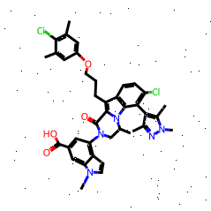 Cc1cc(OCCCc2c3n(c4c(-c5c(C)nn(C)c5C)c(Cl)ccc24)C(C)CN(c2cc(C(=O)O)cc4c2ccn4C)C3=O)cc(C)c1Cl